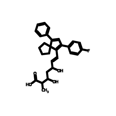 CC(C(=O)O)C(O)CC(O)C=CC1=C(c2ccc(F)cc2)C=C(c2ccccc2)C12CCCC2